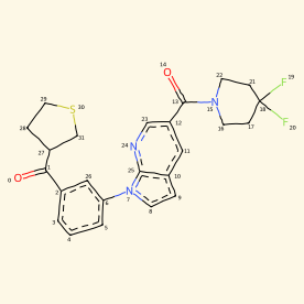 O=C(c1cccc(-n2ccc3cc(C(=O)N4CCC(F)(F)CC4)cnc32)c1)C1CCSC1